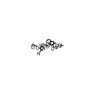 COC(OC)c1nc2c(cc1CO[Si](C)(C)C(C)(C)C)CCCN2C(=O)Nc1cc(OCC2CCO2)c(C#N)cn1